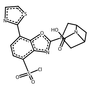 O=C(O)N1C2CC1CN(c1nc3c(S(=O)(=O)Cl)ccc(-c4nccs4)c3o1)C2